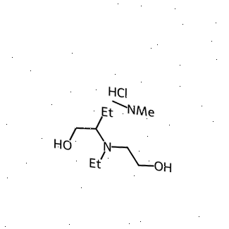 CCC(CO)N(CC)CCO.CNC.Cl